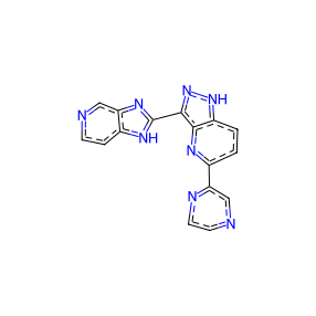 c1cnc(-c2ccc3[nH]nc(-c4nc5cnccc5[nH]4)c3n2)cn1